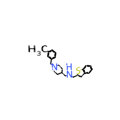 Cc1cccc(CN2CCC(CNCC3Cc4ccccc4S3)CC2)c1